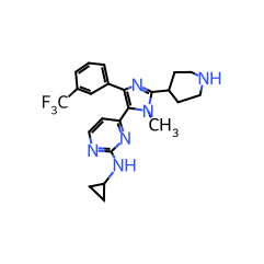 Cn1c(C2CCNCC2)nc(-c2cccc(C(F)(F)F)c2)c1-c1ccnc(NC2CC2)n1